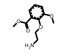 COC(=O)c1cccc(OC)c1OCCN